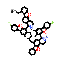 Cc1cc2c(oc3cc(F)ccc32)c(-c2c3cc(CC(C)CCc4c(C)cc5c(oc6cc(F)ccc65)c4-c4c5ccc6c(oc7cccc(CC(C)C)c76)c5cc[n+]4C)c4c5ccccc5oc4c3cc[n+]2C)c1C